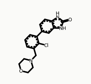 O=c1[nH]c2ccc(-c3cccc(CN4CCOCC4)c3Cl)cc2[nH]1